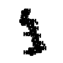 Nc1nc(Nc2nc(O)nc(Nc3ccc(/N=N/c4cc(S(=O)(=O)O)ccc4S(=O)(=O)O)c(N)n3)n2)ccc1/N=N/c1cc(S(=O)(=O)O)ccc1S(=O)(=O)O